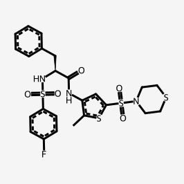 Cc1sc(S(=O)(=O)N2CCSCC2)cc1NC(=O)[C@H](Cc1ccccc1)NS(=O)(=O)c1ccc(F)cc1